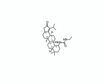 CCNC(=O)NC1CCC(C)(C)[C@@H]2CC[C@]3(C)[C@H](CC[C@@H]4C5=C(C(C)C)C(=O)C[C@]5(C)CC[C@]43C)[C@@]12C